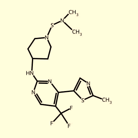 Cc1ncc(-c2nc(NC3CCN(SN(C)C)CC3)ncc2C(F)(F)F)s1